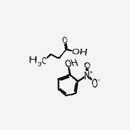 CCCC(=O)O.O=[N+]([O-])c1ccccc1O